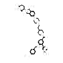 Cn1cnc(-c2cc(C(=O)N3CCC(CCN4CCN(c5ccc6c(c5)C(=O)N([C@H]5CCC(=O)NC5=O)C6O)CC4)CC3)ccc2NCc2ccc(C(F)(F)F)cc2)c1